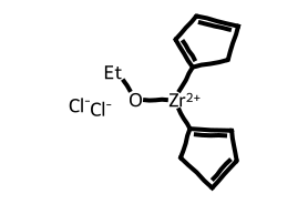 CC[O][Zr+2]([C]1=CC=CC1)[C]1=CC=CC1.[Cl-].[Cl-]